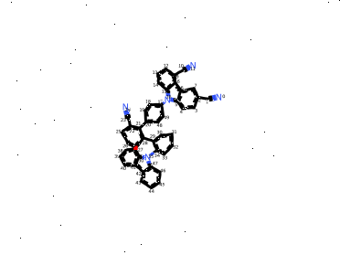 N#Cc1ccc2c(c1)c1c(C#N)cccc1n2-c1ccc(-c2c(C#N)cccc2-c2ccccc2-n2c3ccccc3c3ccccc32)cc1